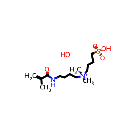 C=C(C)C(=O)NCCCC[N+](C)(C)CCCCS(=O)(=O)O.[OH-]